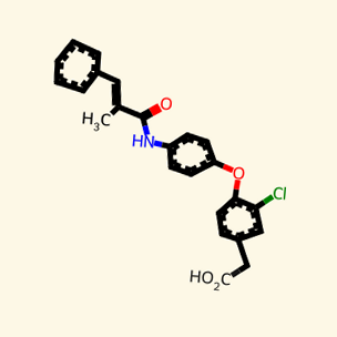 C/C(=C\c1ccccc1)C(=O)Nc1ccc(Oc2ccc(CC(=O)O)cc2Cl)cc1